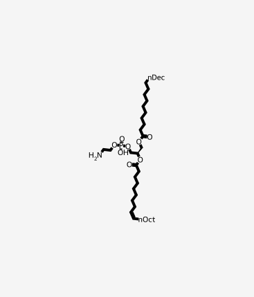 CCCCCCCC/C=C\CCCCCCCC(=O)O[C@H](COC(=O)CCCCCCCCCCCCCCCCCCC)COP(=O)(O)OCCN